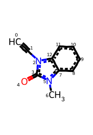 C#Cn1c(=O)n(C)c2ccccc21